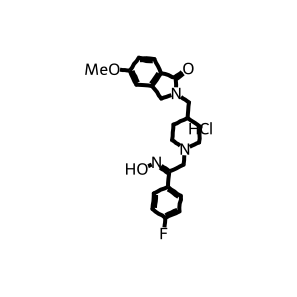 COc1ccc2c(c1)CN(CC1CCN(CC(=NO)c3ccc(F)cc3)CC1)C2=O.Cl